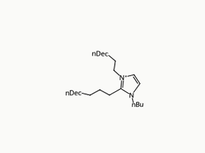 CCCCCCCCCCCCCc1n(CCCC)cc[n+]1CCCCCCCCCCCC